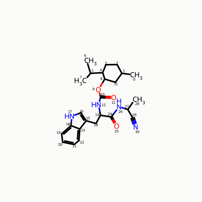 CC1CCC(C(C)C)C(OC(=O)NC(Cc2c[nH]c3ccccc23)C(=O)NC(C)C#N)C1